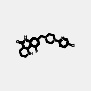 O=c1[nH]c2cc(CN3CCN(c4ccc(Cl)cn4)CC3)cc(F)c2c2c1CCCN2